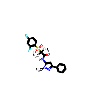 Cn1nc(-c2ccccc2)cc1NC(=O)C(C)(C)S(=O)(=O)c1ccc(F)cc1F